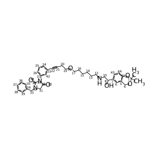 CC1(C)OCc2cc([C@@H](O)CNCCCCCCOCCC#Cc3cccc(N4C(=O)CN(Cc5ccccc5)C4=O)c3)ccc2O1